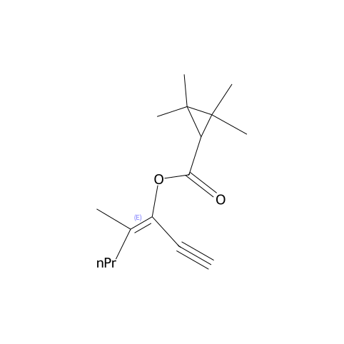 C#C/C(OC(=O)C1C(C)(C)C1(C)C)=C(/C)CCC